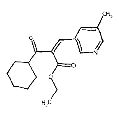 CCOC(=O)/C(=C\c1cncc(C)c1)C(=O)C1CCCCC1